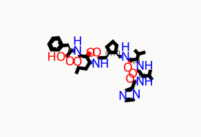 CCCC(NC(=O)C[C@H]1CCC[C@H]1CNC(=O)[C@@H](NC(=O)[C@H](NC(=O)c1cnccn1)C(C)C)C(C)C)C(=O)C(=O)N[C@H](Cc1ccccc1)C(=O)O